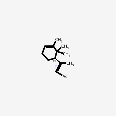 CC(=O)/C=C(\C)[C@H]1CCC=C(C)C1(C)C